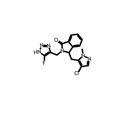 Cn1ncc(Cl)c1CC1c2ccccc2C(=O)N1Cc1nn[nH]c1F